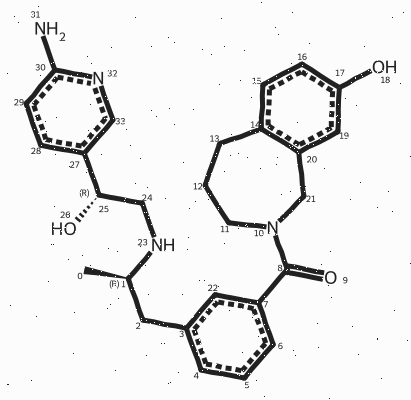 C[C@H](Cc1cccc(C(=O)N2CCCc3ccc(O)cc3C2)c1)NC[C@H](O)c1ccc(N)nc1